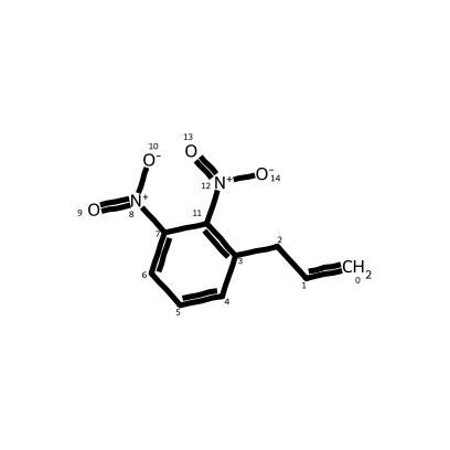 C=CCc1cccc([N+](=O)[O-])c1[N+](=O)[O-]